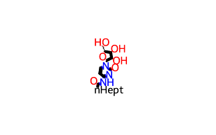 CCCCCCCC(=O)Nc1ccn([C@@H]2O[C@H](CO)[C@@H](O)[C@H]2O)c(=O)n1